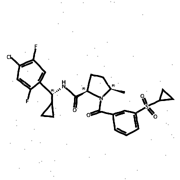 C[C@@H]1CC[C@H](C(=O)N[C@@H](c2cc(F)c(Cl)cc2F)C2CC2)N1C(=O)c1cccc(S(=O)(=O)C2CC2)c1